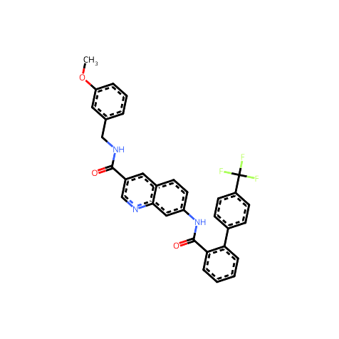 COc1cccc(CNC(=O)c2cnc3cc(NC(=O)c4ccccc4-c4ccc(C(F)(F)F)cc4)ccc3c2)c1